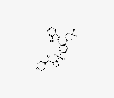 O=C([C@@H]1CCN1S(=O)(=O)c1ccc(N2CCC(F)(F)C2)c(-c2cc3ccccc3[nH]2)c1)N1CCOCC1